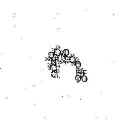 COC(=O)C(F)(F)CCOc1ccc(C(=O)N2c3ccccc3C(N(C(C)=O)c3ccc(Cl)cc3)CC2C)cc1